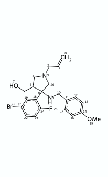 C=CCN1CC(CO)C(NCc2ccc(OC)cc2)(c2cc(Br)ccc2F)C1